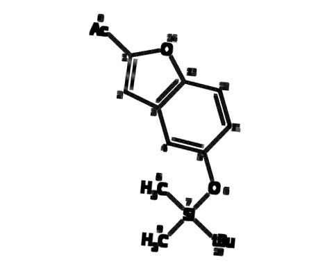 CC(=O)c1cc2cc(O[Si](C)(C)C(C)(C)C)ccc2o1